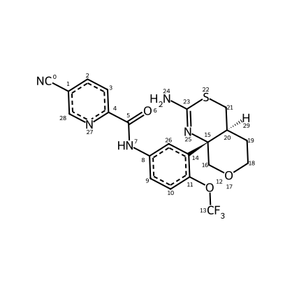 N#Cc1ccc(C(=O)Nc2ccc(OC(F)(F)F)c([C@]34COCC[C@@H]3CSC(N)=N4)c2)nc1